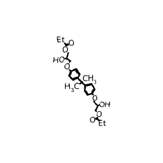 CCC(=O)OCC(O)COc1ccc(C(C)(C)c2ccc(OCC(O)COC(=O)CC)cc2)cc1